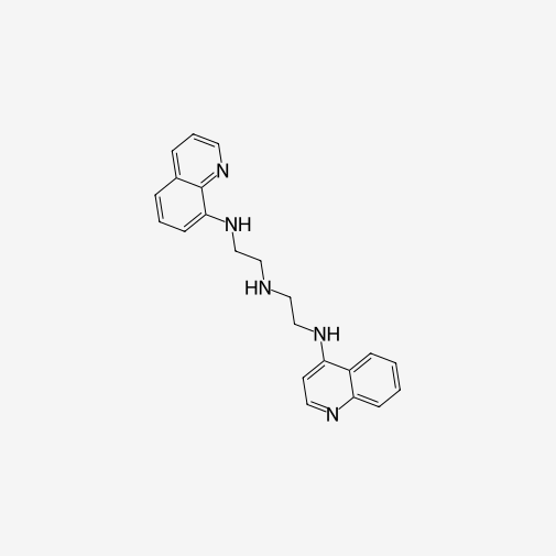 c1cnc2c(NCCNCCNc3ccnc4ccccc34)cccc2c1